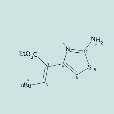 CCCCC=C(C(=O)OCC)c1csc(N)n1